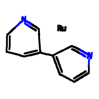 [Ru].c1cncc(-c2cccnc2)c1